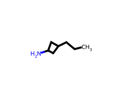 CCCC1CC(N)C1